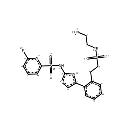 NCCNS(=O)(=O)CCc1ccccc1-c1csc(NS(=O)(=O)c2cccc(F)n2)n1